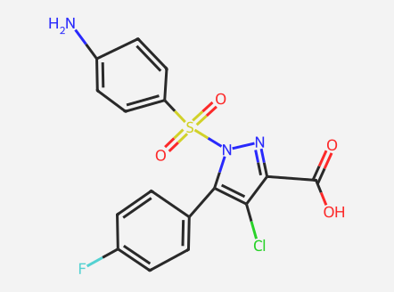 Nc1ccc(S(=O)(=O)n2nc(C(=O)O)c(Cl)c2-c2ccc(F)cc2)cc1